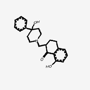 O=C1c2c(O)cccc2CCC1CN1CCC(O)(c2ccccc2)CC1